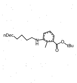 CCCCCCCCCCCCCCNc1cccc(C(=O)OC(C)(C)C)c1C